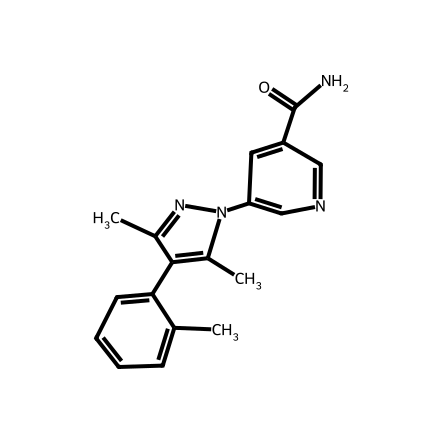 Cc1ccccc1-c1c(C)nn(-c2cncc(C(N)=O)c2)c1C